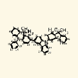 CC1(C)c2ccccc2N(c2ccccc2)c2ccc(-c3ccc4c(c3)c3ccccc3n4-c3ccc4c(c3)-c3ncccc3C4(C)C)cc21